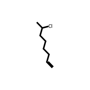 C=CCCCCC(C)Cl